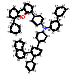 C1=CCC(c2ccc(C3=CCC(N(C4=CCC(c5cccc6c5oc5c(-c7ccccc7)cccc56)C=C4)c4cccc(-c5ccccc5)c4)C=C3)cc2-c2cccc3ccccc23)C=C1